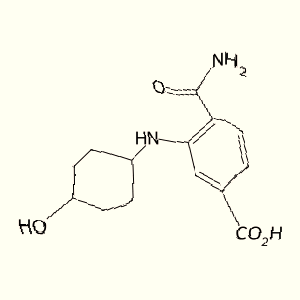 NC(=O)c1ccc(C(=O)O)cc1NC1CCC(O)CC1